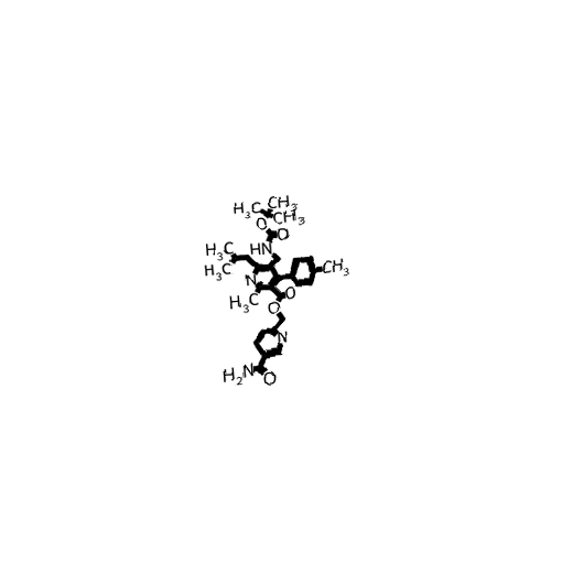 Cc1ccc(-c2c(CNC(=O)OC(C)(C)C)c(CC(C)C)nc(C)c2C(=O)OCc2ccc(C(N)=O)cn2)cc1